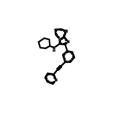 C(#Cc1ccccn1)c1cccc(-c2nc3ncccn3c2NC2CCCCC2)c1